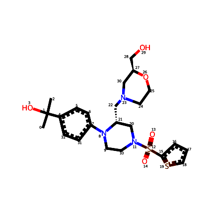 CC(C)(O)c1ccc(N2CCN(S(=O)(=O)c3cccs3)C[C@H]2CN2CCO[C@H](CO)C2)cc1